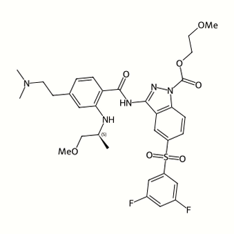 COCCOC(=O)n1nc(NC(=O)c2ccc(CCN(C)C)cc2N[C@@H](C)COC)c2cc(S(=O)(=O)c3cc(F)cc(F)c3)ccc21